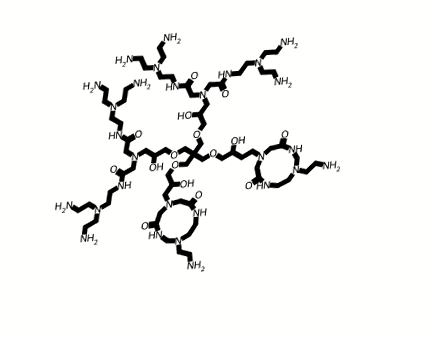 NCCN(CCN)CCNC(=O)CN(CC(=O)NCCN(CCN)CCN)CC(O)COCC(COCC(O)CCN1CC(=O)NCCN(CCN)CNC(=O)C1)(COCC(O)CN(CC(=O)NCCN(CCN)CCN)CC(=O)NCCN(CCN)CCN)COCC(O)CN1CC(=O)NCCN(CCN)CNC(=O)C1